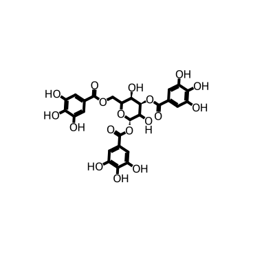 O=C(OCC1O[C@@H](OC(=O)c2cc(O)c(O)c(O)c2)C(O)[C@H](OC(=O)c2cc(O)c(O)c(O)c2)[C@@H]1O)c1cc(O)c(O)c(O)c1